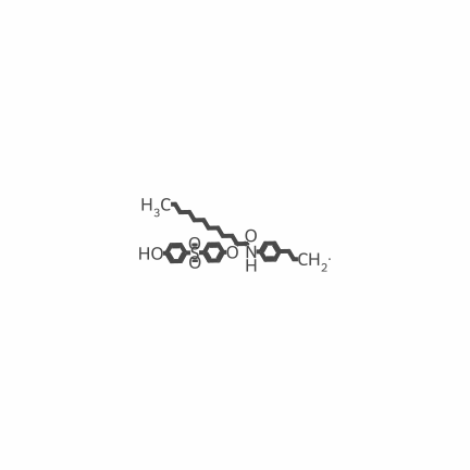 [CH2]CCc1ccc(NC(=O)C(CCCCCCCCCC)Oc2ccc(S(=O)(=O)c3ccc(O)cc3)cc2)cc1